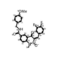 COc1ccc(CNC(=O)c2ccc3c(c2)C(=O)/C(=C\c2ccc(F)c(F)c2)[S+]([O-])N3C)cc1